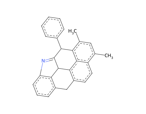 Cc1cc(C)c2ccc3c4c2c1C(c1ccccc1)C1=Nc2cccc(c2C14)C3